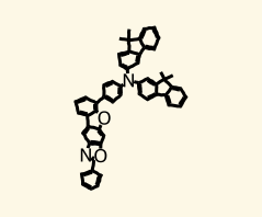 CC1(C)c2ccccc2-c2cc(N(c3ccc(-c4cccc5c4oc4cc6oc(-c7ccccc7)nc6cc45)cc3)c3ccc4c(c3)C(C)(C)c3ccccc3-4)ccc21